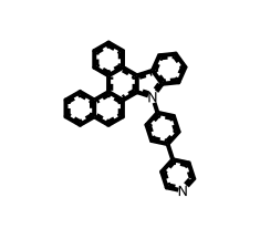 c1ccc2c(c1)ccc1c2c2ccccc2c2c3ccccc3n(-c3ccc(-c4ccncc4)cc3)c12